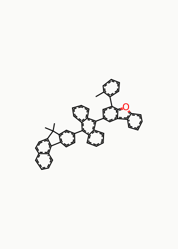 Cc1ccccc1-c1cc(-c2c3ccccc3c(-c3ccc4c(c3)C(C)(C)c3ccc5ccccc5c3-4)c3ccccc23)cc2c1oc1ccccc12